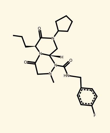 CCC[C@H]1C(=O)N(C2CCCC2)C[C@H]2N1C(=O)CN(C)N2C(=O)NCc1ccc(F)cc1